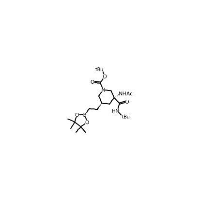 CC(=O)N[C@]1(C(=O)NC(C)(C)C)C[C@@H](CCB2OC(C)(C)C(C)(C)O2)CN(C(=O)OC(C)(C)C)C1